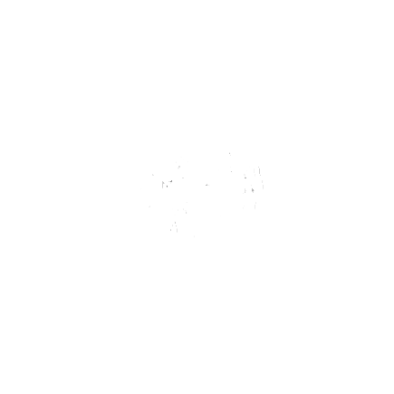 CC(CC1CCC(C)(C)C1(C)C)OC(=O)C1CCCN1C=O